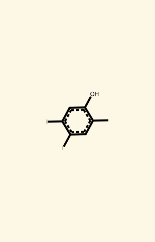 Cc1cc(I)c(I)cc1O